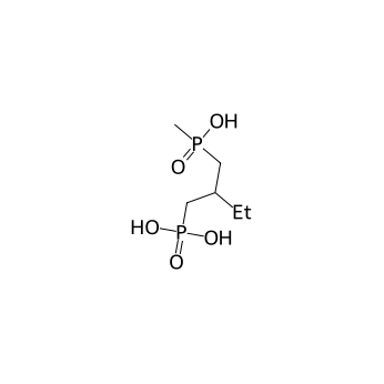 CCC(CP(C)(=O)O)CP(=O)(O)O